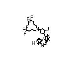 CC[C@@H]1C[C@H](N(CCCC(F)(F)F)CCCC(F)(F)F)CC1c1nnc2cnc3[nH]ccc3n12